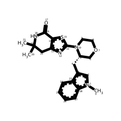 Cn1cc(C[C@H]2COCCN2c2nc3c(s2)C(=O)NC(C)(C)C3)c2ccccc21